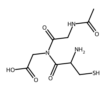 CC(=O)NCC(=O)N(CC(=O)O)C(=O)C(N)CS